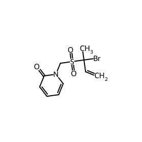 C=CC(C)(Br)S(=O)(=O)Cn1ccccc1=O